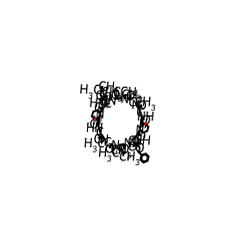 CC[C@H](C)[C@H]1C(=O)NC[C@@H](NC(=O)OCc2ccccc2)C(=O)N2CCCC[C@H]2C(=O)NCC(=O)N(C)CC(=O)N(C)[C@@H](C(C)C)C(=O)NC[C@@H](NC(=O)OC(C)(C)C)C(=O)N2CCCC[C@H]2C(=O)NCC(=O)N(C)CC(=O)N1C